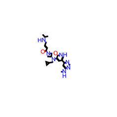 CNc1cc(-c2c[nH]c(=O)c(N(CC3CC3)C3CN(C(=O)C=CCNC(C)C)C3)c2)ncn1